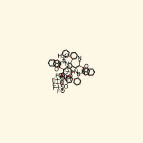 Cc1ccccc1-c1c2/c(=C(\C#N)c3nc4ccccc4o3)n(B(c3ccccc3)c3ccccc3)c(-c3ccc(OS(=O)(=O)C(F)(F)C(F)(F)C(F)(F)S(=O)(=O)NS(=O)(=O)C(F)(F)F)cc3)c2/c(=C(\C#N)c2nc3ccccc3o2)n1B(c1ccccc1)c1ccccc1